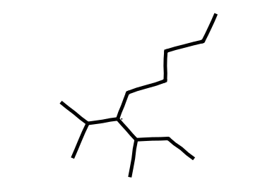 CCCCC[C](C(C)C)C(C)CC